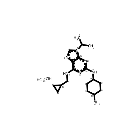 CC(C)n1cnc2c(NCC3CC3)nc(NC3CCC(N)CC3)nc21.Cl.Cl